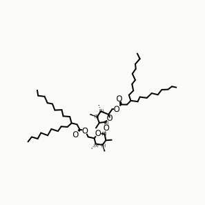 CCCCCCCCCC(CCCCCCCCC)CC(=O)OCC1O[C@H](O[C@H]2OC(COC(=O)CC(CCCCCCCCC)CCCCCCCCC)[C@@H](C)[C@H](C)C2C)C(C)[C@@H](C)[C@@H]1C